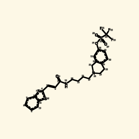 O=C(C=Cc1nc2ccccc2s1)NCCCCN1CCc2ccc(OS(=O)(=O)C(F)(F)F)cc2C1